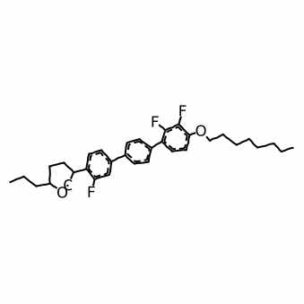 CCCCCCCCOc1ccc(-c2ccc(-c3ccc(C4CCC(CCC)OC4)c(F)c3)cc2)c(F)c1F